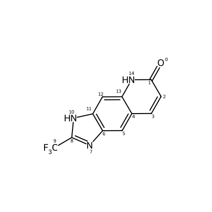 O=c1ccc2cc3nc(C(F)(F)F)[nH]c3cc2[nH]1